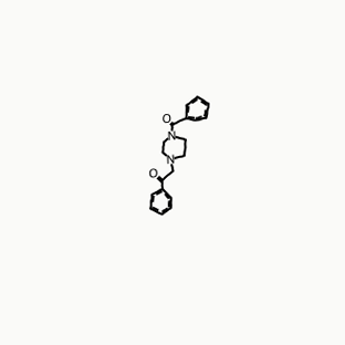 O=C(CN1CCN(C(=O)c2ccccc2)CC1)c1ccccc1